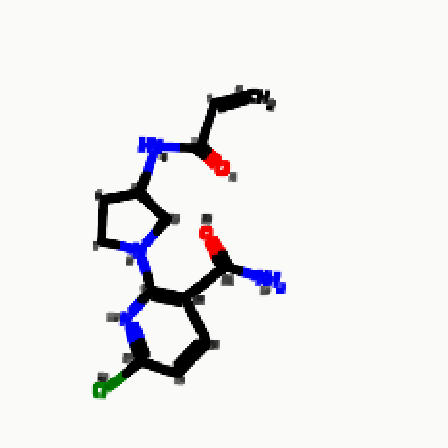 C=CC(=O)NC1CCN(c2nc(Cl)ccc2C(N)=O)C1